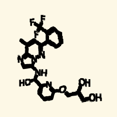 Cc1cc(-c2ccccc2C(F)(F)F)nn2c(NC(O)c3cccc(OCC(O)CO)n3)cnc12